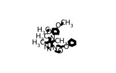 CCOc1ccc(-n2c(C)c3c(C)nnc(N4CCOC(COc5ccccc5)C4)c3c2C)c(OC)c1